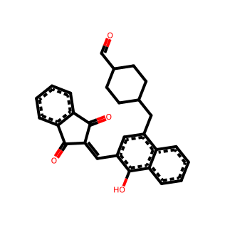 O=CC1CCC(Cc2cc(C=C3C(=O)c4ccccc4C3=O)c(O)c3ccccc23)CC1